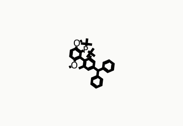 COc1ccc(OC)c(P(C(C)(C)C)C(C)(C)C)c1-c1c(C)cc(C(c2ccccc2)c2ccccc2)cc1C